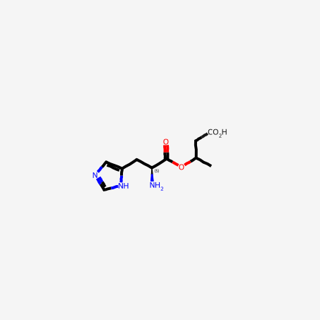 CC(CC(=O)O)OC(=O)[C@@H](N)Cc1cnc[nH]1